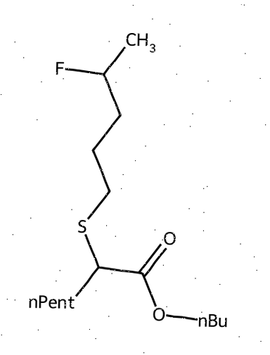 CCCCCC(SCCCC(C)F)C(=O)OCCCC